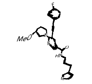 COC1CCCN(c2ncc(C(=O)NCCCC3=CCN=C3)cc2C#Cc2ccc(F)cc2)C1